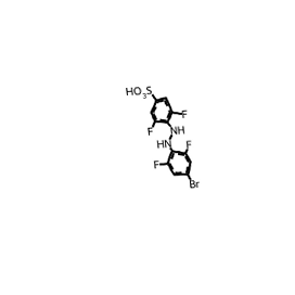 O=S(=O)(O)c1cc(F)c(NNc2c(F)cc(Br)cc2F)c(F)c1